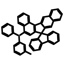 Cc1cccc(N(c2ccccc2)c2cc3c(c4ccccc24)-c2cc4ccccc4cc2C32c3ccccc3-c3ccccc32)c1